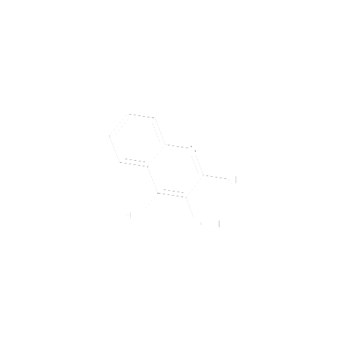 Cc1c(C(=O)O)c(Cl)nc2ccccc12